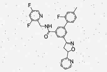 Cc1ccc(-c2cc(C(=O)NCc3ncc(F)cc3F)cc(C3=NOC(c4ccccn4)C3)c2)c(F)c1